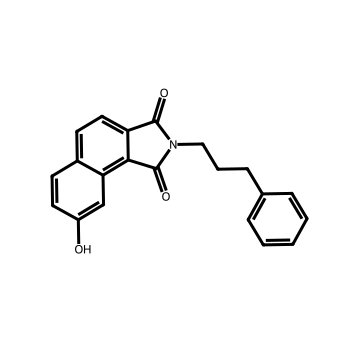 O=C1c2ccc3ccc(O)cc3c2C(=O)N1CCCc1ccccc1